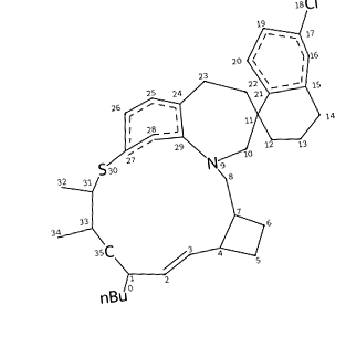 CCCCC1/C=C/C2CCC2CN2CC3(CCCc4cc(Cl)ccc43)CCc3ccc(cc32)SC(C)C(C)C1